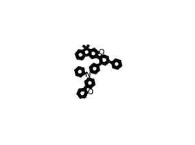 CC1(C)c2ccccc2-c2cc3c(cc21)oc1cc(-c2ccccc2)cc(-c2ccc(N(c4ccccc4)c4ccc5oc6ccccc6c5c4)cc2)c13